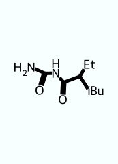 CCC(C)C(CC)C(=O)NC(N)=O